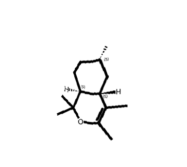 CC1=C(C)[C@H]2C[C@@H](C)CC[C@@H]2C(C)(C)O1